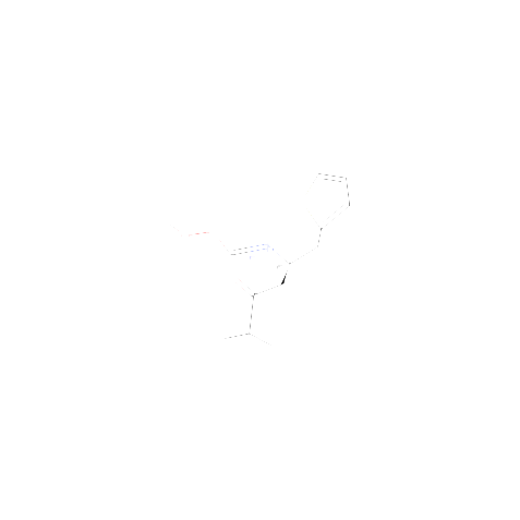 COO/C=N/[C@H](CC(=O)C(C)C)Cc1cccs1